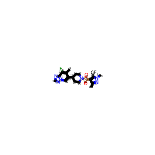 Cc1nn(C)c(C(F)(F)F)c1S(=O)(=O)N1CCC(c2cn3ncnc3c(F)c2C)CC1